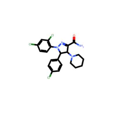 NC(=O)C1=NN(c2ccc(Cl)cc2Cl)C(c2ccc(Cl)cc2)C1N1CCCCC1